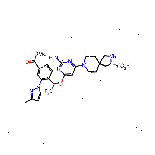 COC(=O)c1ccc([C@@H](Oc2cc(N3CCC4(CC3)CN[C@H](C(=O)O)C4)nc(N)n2)C(F)(F)F)c(-n2ccc(C)n2)c1